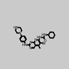 Cc1c(Br)c(NC(=O)NC2CCCCC2)nc2nc(Nc3ccc(N4CCNCC4)cc3)ncc12